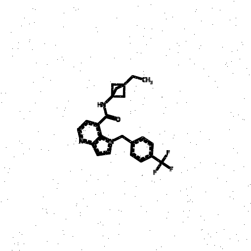 CCC12CC(NC(=O)c3ccnc4ccn(Cc5ccc(C(F)(F)F)cc5)c34)(C1)C2